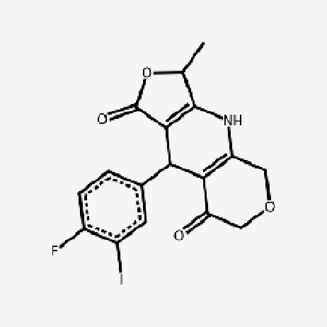 CC1OC(=O)C2=C1NC1=C(C(=O)COC1)C2c1ccc(F)c(I)c1